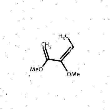 C=C(OC)/C(=C\C)OC